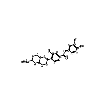 CCCCCCC1CCC2CC(c3ccc(C(=O)Oc4ccc(F)c(F)c4)cc3F)CCC2C1